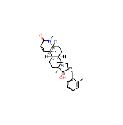 Cc1ccccc1C[C@H]1C[C@H]2[C@@H]3CC[C@H]4N(C)C(=O)C=C[C@]4(C)[C@H]3CC[C@]2(C)[C@H]1O